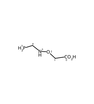 O=C(O)CONCP